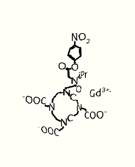 CC(C)N(CC(=O)Oc1ccc([N+](=O)[O-])cc1)C(=O)CN1CCN(CC(=O)[O-])CCN(CC(=O)[O-])CCN(CC(=O)[O-])CC1.[Gd+3]